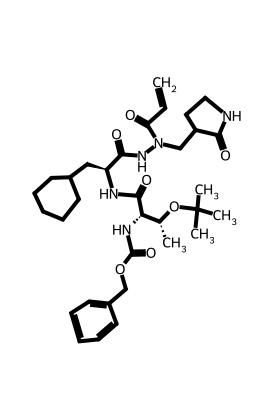 C=CC(=O)N(CC1CCNC1=O)NC(=O)[C@H](CC1CCCCC1)NC(=O)[C@@H](NC(=O)OCc1ccccc1)[C@@H](C)OC(C)(C)C